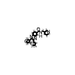 O=C(NCc1cccnc1)c1ccc2nc(-c3ccoc3)c(-c3ccco3)nc2c1